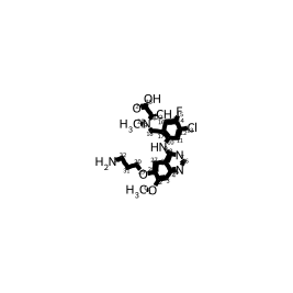 COc1cc2ncnc(Nc3cc(Cl)c(F)cc3CN(C)[C@H](C)C(=O)O)c2cc1OCCCN